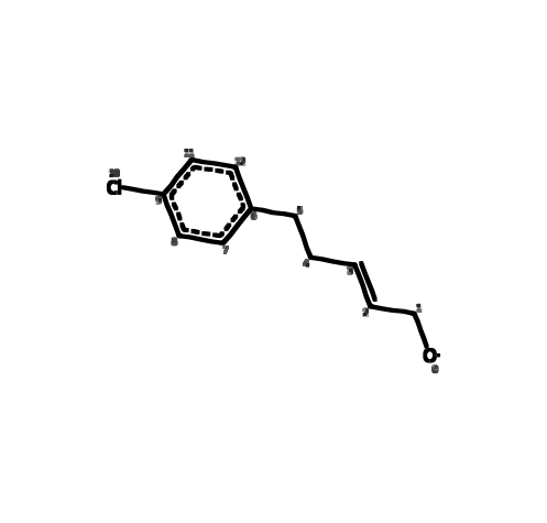 [O]CC=CCCc1ccc(Cl)cc1